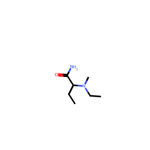 CCC(C(N)=O)N(C)CC